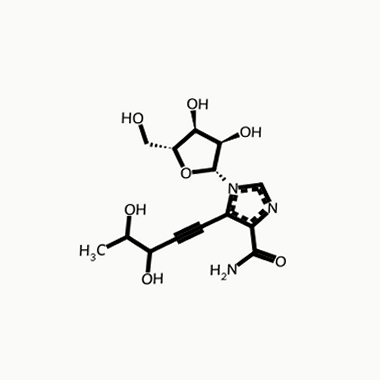 CC(O)C(O)C#Cc1c(C(N)=O)ncn1[C@@H]1O[C@H](CO)[C@@H](O)[C@H]1O